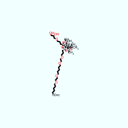 CCCCCCCCCCCCCCCOCCOCCCCCOCCOCCC[Si](C)(O[Si](C)(C)O[Si](C)(C)C)O[Si](C)(CCCOCC(O)CO)O[Si](C)(C)C